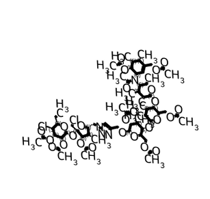 CC[C@H]1O[C@H](O[C@]2(CCl)O[C@H](Cn3cc(CO[C@@H]4OC(COC(C)=O)[C@@H](O[C@H]5OC(COC(C)=O)[C@@H](O[C@H]6OC(C)[C@@H](N(C(C)=O)[C@H]7C=C(COC(C)=O)[C@@H](C)[C@H](C)[C@H]7OC(C)=O)[C@H](C)C6C)[C@H](C)C5C)[C@H](C)C4OC(C)=O)nn3)[C@@H](C)[C@@H]2OC(C)=O)[C@H](OC(C)=O)[C@@H](OC(C)=O)[C@H]1Cl